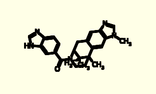 Cn1cnc2cc3c(cc21)C1(C)CCN(C(=O)c2ccc4nc[nH]c4c2)C(C3)C1(C)C